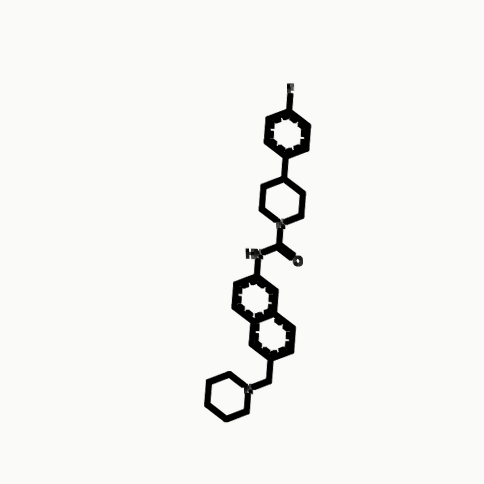 O=C(Nc1ccc2cc(CN3CCCCC3)ccc2c1)N1CCC(c2ccc(F)cc2)CC1